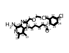 CCOCc1nc2c(N)nc(C)c(C)c2n1CCCC[S+]([O-])c1ccc(Cl)cc1Cl